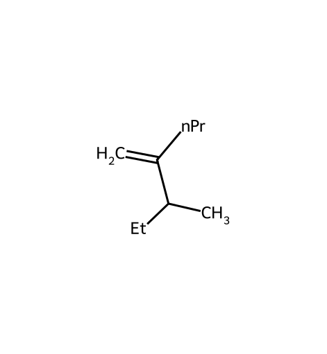 C=C(CCC)C(C)CC